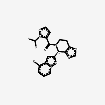 O=C(c1ccnn1C(F)F)N1CCc2[nH]cnc2[C@H]1c1cc2c(F)cccn2n1